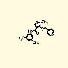 Cc1cc(C)cc(NC(=O)c2cnn(C)c2SCc2ccncc2)c1